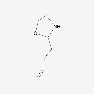 C=CCCC1NCCO1